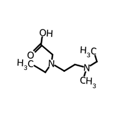 CCN(C)CCN(CC)CC(=O)O